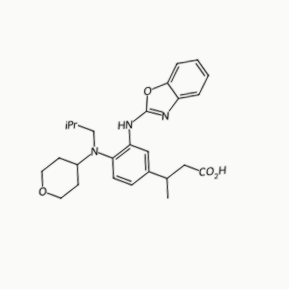 CC(C)CN(c1ccc(C(C)CC(=O)O)cc1Nc1nc2ccccc2o1)C1CCOCC1